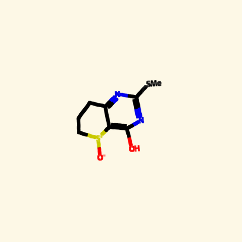 CSc1nc(O)c2c(n1)CCC[S+]2[O-]